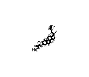 C=C(CO)C(=O)O[C@H]1CC[C@@]2(C)C(CC[C@@H]3C2CC[C@@]2(C)C3CC[C@@H]2[C@H](C)CCCC(C)C)C1